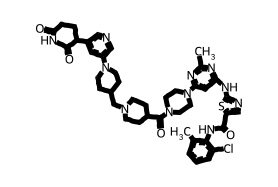 Cc1nc(Nc2ncc(C(=O)Nc3c(C)cccc3Cl)s2)cc(N2CCN(C(=O)C3CCN(CC4CCN(c5cncc(C6CCC(=O)NC6=O)c5)CC4)CC3)CC2)n1